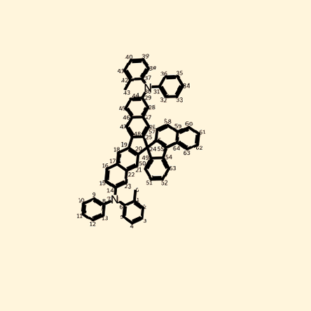 Cc1ccccc1N(c1ccccc1)c1ccc2cc3c(cc2c1)C1(c2cc4cc(N(c5ccccc5)c5ccccc5C)ccc4cc2-3)c2ccccc2-c2c1ccc1ccccc21